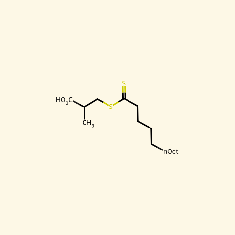 CCCCCCCCCCCCC(=S)SCC(C)C(=O)O